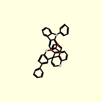 c1ccc(-c2ccc3c(c2)C2(c4ccccc4O3)c3ccccc3Oc3cccc(-c4ccc5c6ccccc6n(-c6ccccc6)c5c4)c32)cc1